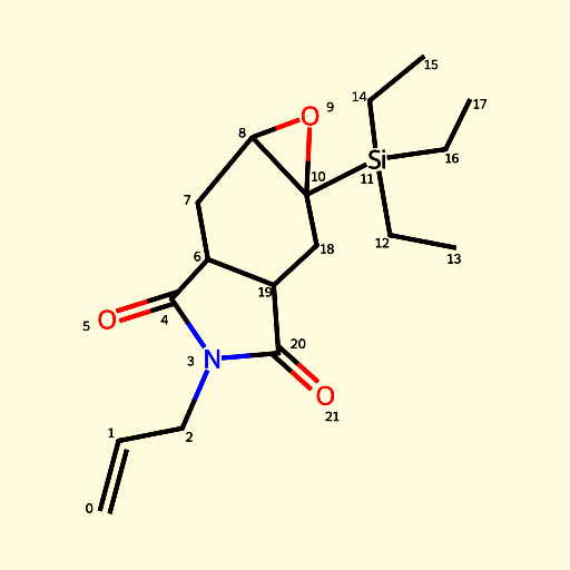 C=CCN1C(=O)C2CC3OC3([Si](CC)(CC)CC)CC2C1=O